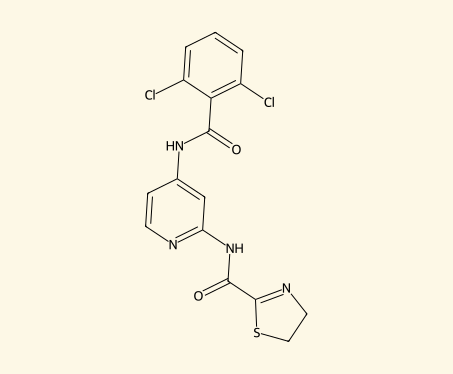 O=C(Nc1cc(NC(=O)c2c(Cl)cccc2Cl)ccn1)C1=NCCS1